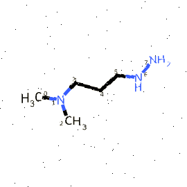 CN(C)CCCNN